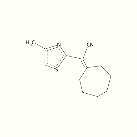 Cc1csc(C(C#N)=C2CCCCCC2)n1